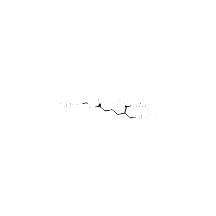 CCCCCCCCCCCOC(=O)CCCC(CCCCCCCCCCC)C(=O)OC(C)=O